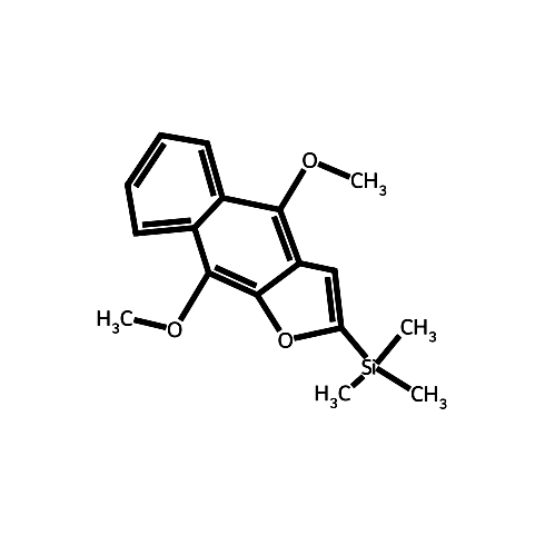 COc1c2ccccc2c(OC)c2oc([Si](C)(C)C)cc12